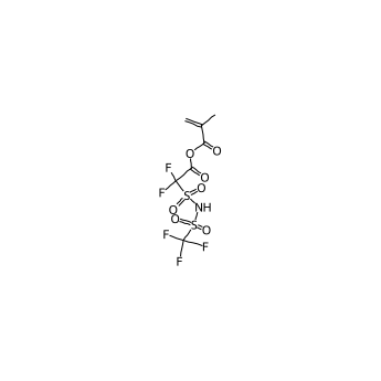 C=C(C)C(=O)OC(=O)C(F)(F)S(=O)(=O)NS(=O)(=O)C(F)(F)F